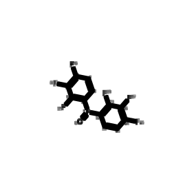 O=[P](c1ccc(F)c(F)c1F)c1ccc(F)c(F)c1F